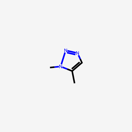 Cc1cnnn1C